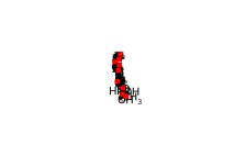 C[C@@H](O)[C@@H](CO)NC(=O)c1ccc(/N=N/c2ccc(SC3CCCCC3)cc2)cc1